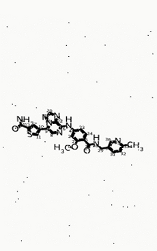 COc1cc(Nc2ncc(-c3csc(C(N)=O)c3)n3ncnc23)ccc1C(=O)NCc1ccc(C)nc1